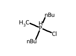 CCCC[PH](C)(Cl)CCCC